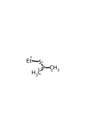 CCSP(C)C